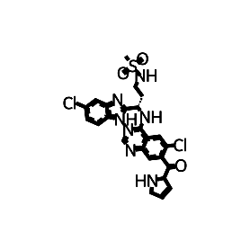 CS(=O)(=O)NCC[C@H](Nc1ncnc2cc(C(=O)C3C=CCN3)c(Cl)cc12)c1nc2cc(Cl)ccc2[nH]1